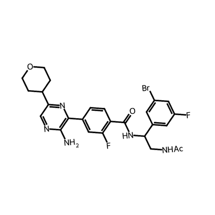 CC(=O)NCC(NC(=O)c1ccc(-c2nc(C3CCOCC3)cnc2N)cc1F)c1cc(F)cc(Br)c1